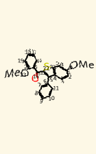 COc1ccc2c(-c3ccccc3)c(C(=O)c3ccccc3OC)sc2c1